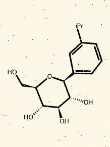 CC(C)c1cccc([C@@H]2O[C@H](CO)[C@@H](O)[C@H](O)[C@H]2O)c1